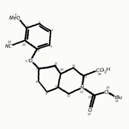 COc1cccc(OC2CCC3CN(C(=O)OC(C)(C)C)C(C(=O)O)CC3C2)c1C#N